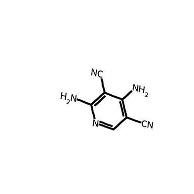 N#Cc1cnc(N)c(C#N)c1N